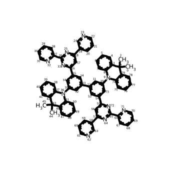 CC1(C)c2ccccc2N(c2cc(-c3cc(-c4cc(-c5cccnc5)nc(-c5ccccn5)n4)cc(N4c5ccccc5C(C)(C)c5ccccc54)c3)cc(-c3cc(-c4cccnc4)nc(-c4ccccn4)n3)c2)c2ccccc21